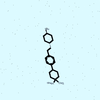 CCCCCCCC1(C=O)CCC(c2ccc(CC[C@H]3CC[C@H](CCCC)CC3)cc2)CC1